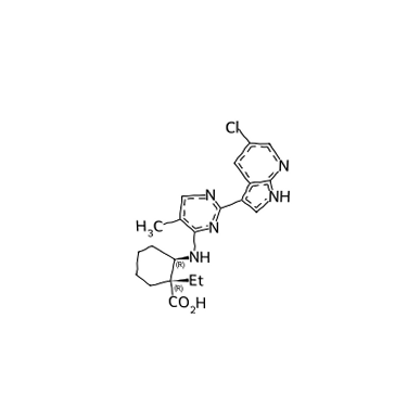 CC[C@@]1(C(=O)O)CCCC[C@H]1Nc1nc(-c2c[nH]c3ncc(Cl)cc23)ncc1C